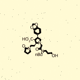 CCCCN(CCCO)C(=O)CN1C[C@H](c2ccc3c(c2)OCO3)[C@@H](C(=O)O)[C@@H]1CCN1CCCC1=O